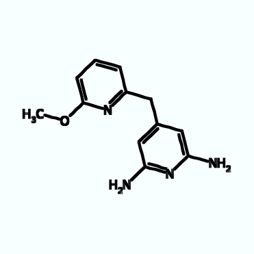 COc1cccc(Cc2cc(N)nc(N)c2)n1